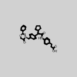 O=C(O)/C=C/c1ccc(NC(=O)C(c2ccc(CN3N=C(c4ccccc4)OCC3=O)cc2)C2CCCC2)cc1